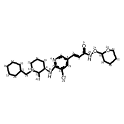 O=C(C=Cc1cnc(N[C@@H]2CCCN(CC3CCCCC3)C2I)c(Cl)c1)NOC1CCCCO1